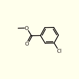 COC(=O)c1cccc(Cl)c1